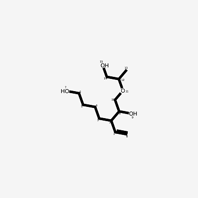 C=CC(CCCCO)C(O)COC(C)CO